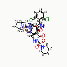 O=C(NS(=O)(=O)N1CCCCC1)c1ccc2nc(N3C4CCC3CC(NCc3c(-c5c(Cl)cccc5Cl)noc3C3CC3)C4)sc2c1